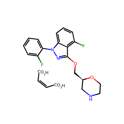 Fc1ccccc1-n1nc(OC[C@@H]2CNCCO2)c2c(F)cccc21.O=C(O)/C=C\C(=O)O